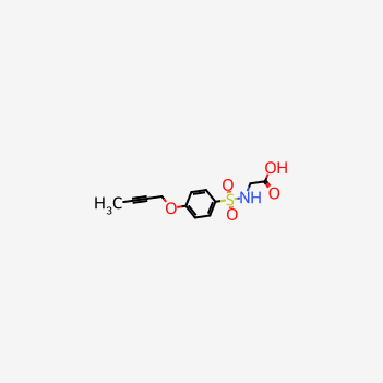 CC#CCOc1ccc(S(=O)(=O)NCC(=O)O)cc1